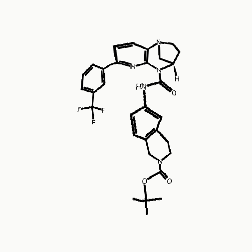 CC(C)(C)OC(=O)N1CCc2cc(NC(=O)N3c4nc(-c5cccc(C(F)(F)F)c5)ccc4N4CC[C@H]3C4)ccc2C1